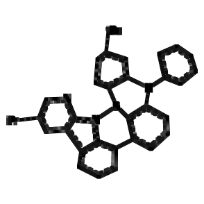 CC(C)c1cnc2c(c1)c1cccc3c1n2B1c2ccc(C(C)(C)C)cc2N(c2ccccc2)c2cccc-3c21